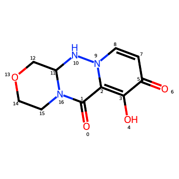 O=C1c2c(O)c(=O)ccn2NC2COCCN12